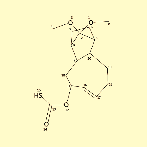 COC1(OC)C2CCC1C1CC(OC(=O)S)/C=C/CCC12